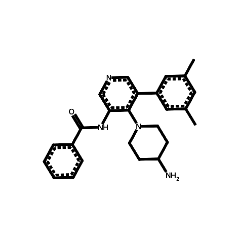 Cc1cc(C)cc(-c2cncc(NC(=O)c3ccccc3)c2N2CCC(N)CC2)c1